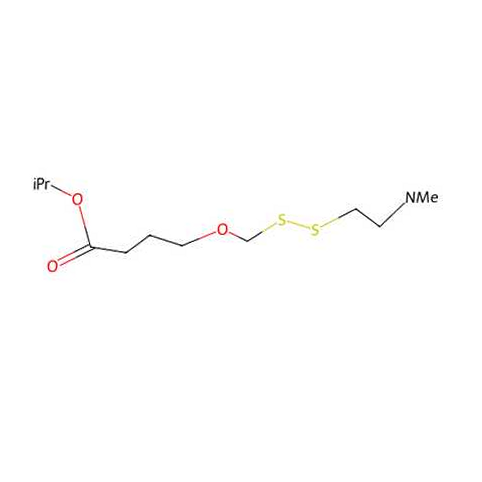 CNCCSSCOCCCC(=O)OC(C)C